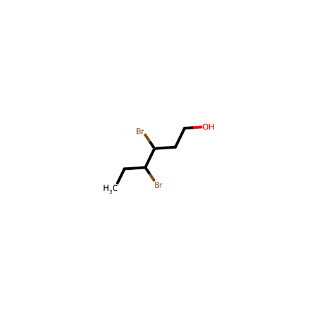 CCC(Br)C(Br)CCO